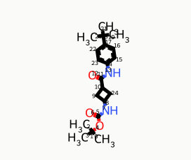 CC(C)(C)OC(=O)NC1CC(C(=O)Nc2ccc(C(C)(C)C)cc2)C1